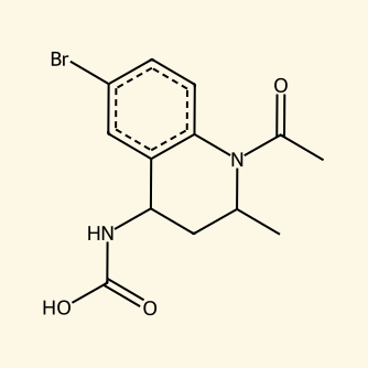 CC(=O)N1c2ccc(Br)cc2C(NC(=O)O)CC1C